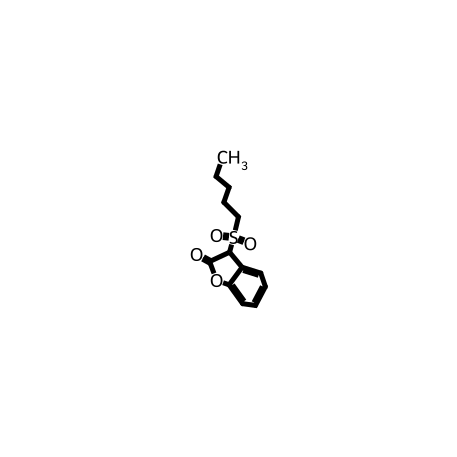 CCCCCS(=O)(=O)C1C(=O)Oc2ccccc21